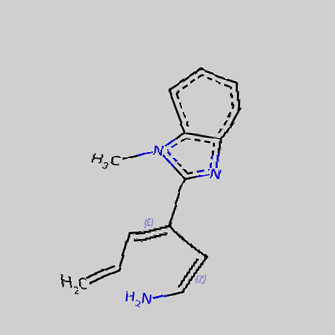 C=C/C=C(\C=C/N)c1nc2ccccc2n1C